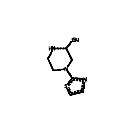 CC(C)(C)C1CN(c2nccs2)CCN1